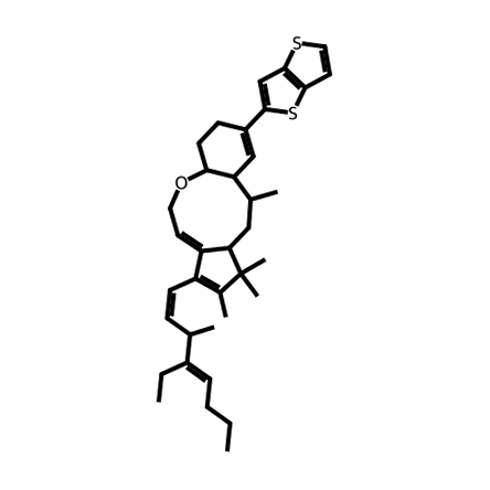 CCC/C=C(\CC)C(C)/C=C\C1=C(C)C(C)(C)C2CC(C)C3C=C(c4cc5sccc5s4)CCC3OC/C=C/12